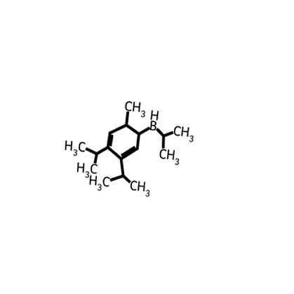 CC(C)BC1C=C(C(C)C)C(C(C)C)=CC1C